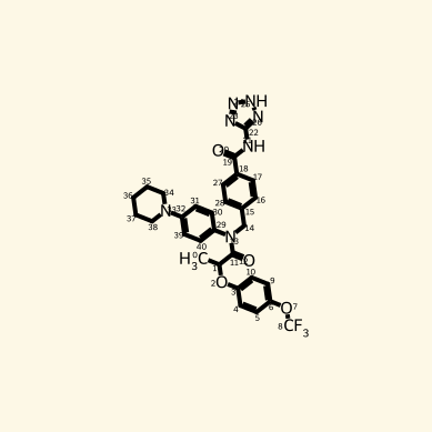 CC(Oc1ccc(OC(F)(F)F)cc1)C(=O)N(Cc1ccc(C(=O)Nc2nn[nH]n2)cc1)c1ccc(N2CCCCC2)cc1